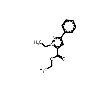 CCOC(=O)c1cc(-c2ccccc2)nn1CC